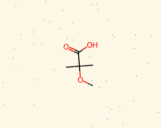 COC(C)(C)C(=O)O